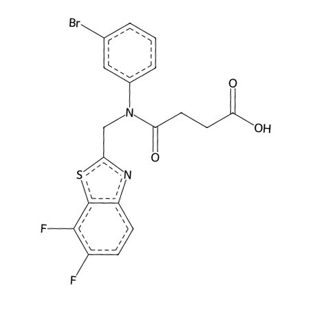 O=C(O)CCC(=O)N(Cc1nc2ccc(F)c(F)c2s1)c1cccc(Br)c1